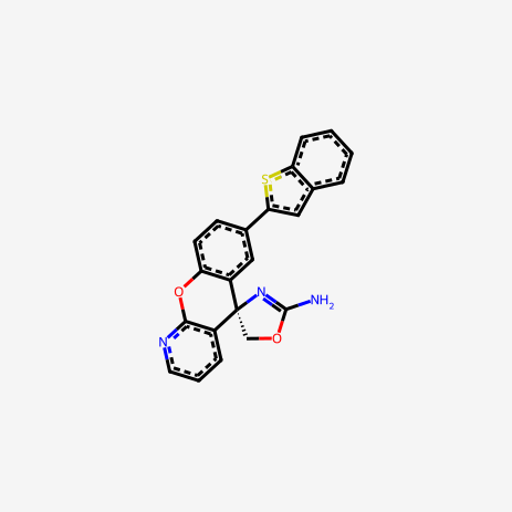 NC1=N[C@]2(CO1)c1cc(-c3cc4ccccc4s3)ccc1Oc1ncccc12